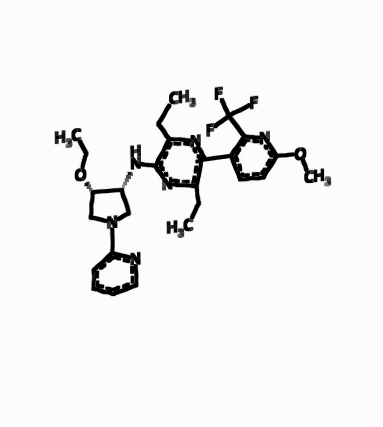 CCO[C@H]1CN(c2ccccn2)C[C@H]1Nc1nc(CC)c(-c2ccc(OC)nc2C(F)(F)F)nc1CC